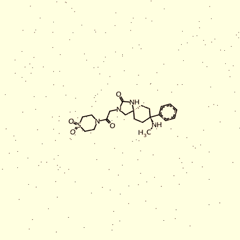 CN[C@]1(c2ccccc2)CC[C@]2(CC1)CN(CC(=O)N1CCS(=O)(=O)CC1)C(=O)N2